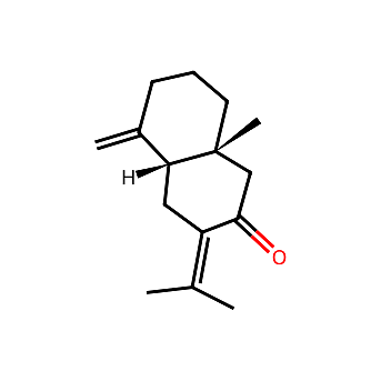 C=C1CCC[C@]2(C)CC(=O)C(=C(C)C)C[C@H]12